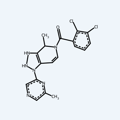 Cc1cncc(N2NNC3=C2C=CN(C(=O)c2cccc(Cl)c2Cl)C3C)n1